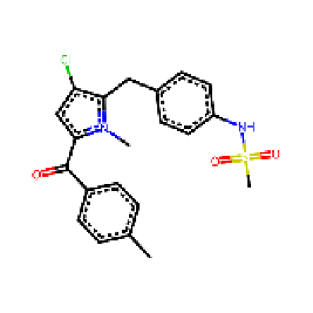 Cc1ccc(C(=O)c2cc(Cl)c(Cc3ccc(NS(C)(=O)=O)cc3)n2C)cc1